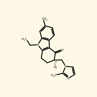 [2H][C@]1(Cn2ccnc2C)CCc2c(c3ccc(C)cc3n2CC)C1=O